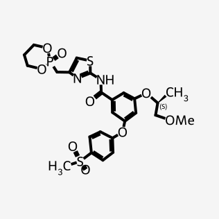 COC[C@H](C)Oc1cc(Oc2ccc(S(C)(=O)=O)cc2)cc(C(=O)Nc2nc(CP3(=O)OCCCO3)cs2)c1